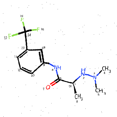 C[C@H](NN(C)C)C(=O)Nc1cccc(C(F)(F)F)c1